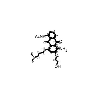 CC(=O)Nc1cccc2c1C(=O)c1c(NCCCN(C)C)cc(OCCO)c(N)c1C2=O